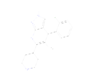 N#CC1=C(C2CCNCC2)Nc2n[nH]cc2C1c1ccccc1Cl